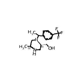 CC(c1ccc(C(F)(F)F)cc1)N1C[C@H](C)NC[C@H]1CO